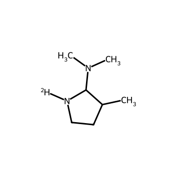 [2H]N1CCC(C)C1N(C)C